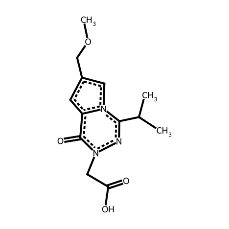 COCc1cc2c(=O)n(CC(=O)O)nc(C(C)C)n2c1